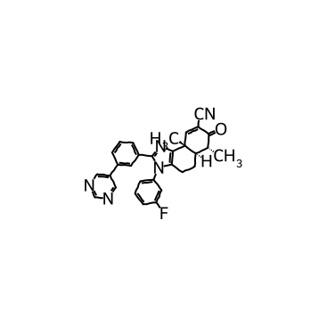 C[C@H]1C(=O)C(C#N)=C[C@@]2(C)c3nc(-c4cccc(-c5cncnc5)c4)n(-c4cccc(F)c4)c3CC[C@H]12